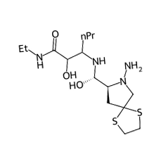 CCCC(N[C@@H](O)[C@@H]1CC2(CN1N)SCCS2)C(O)C(=O)NCC